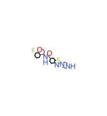 O=C(NC1CCOc2c(F)cccc21)c1ccc2nc(N3CCNCC3)sc2c1